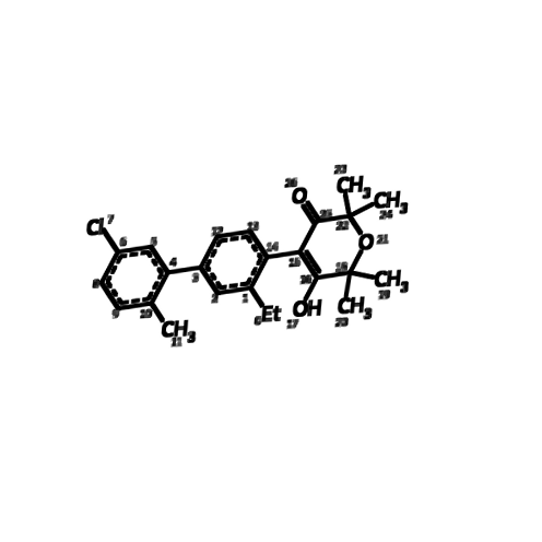 CCc1cc(-c2cc(Cl)ccc2C)ccc1C1=C(O)C(C)(C)OC(C)(C)C1=O